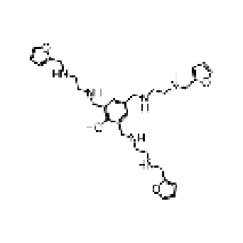 Oc1c(CNCCNCc2ccco2)cc(CNCCNCc2ccco2)cc1CNCCNCc1ccco1